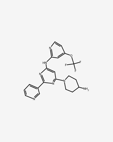 NC1CCN(c2cc(Nc3cc(OC(F)(F)F)ccn3)nc(-c3cccnc3)n2)CC1